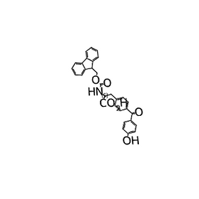 O=C(N[C@@H](Cc1ccc(C(=O)c2ccc(O)cc2)cc1)C(=O)O)OCC1c2ccccc2-c2ccccc21